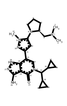 CN(C)C[C@@H]1CCCN1c1cc(-c2cn(C(C3CC3)C3CC3)c(=O)c3c(N)n[nH]c23)nn1C